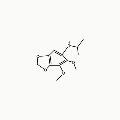 COc1c(NC(C)C)cc2c(c1OC)OCO2